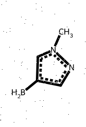 Bc1cnn(C)c1